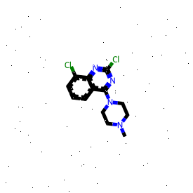 CN1CCN(c2nc(Cl)nc3c(Cl)cccc23)CC1